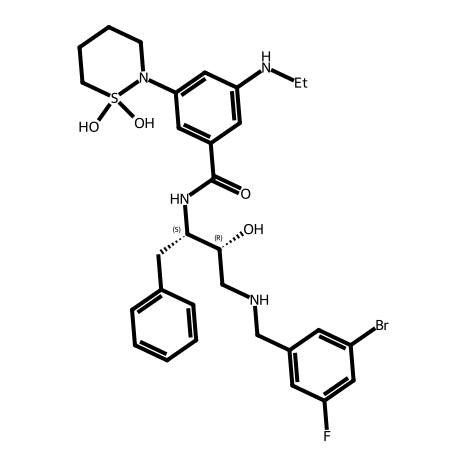 CCNc1cc(C(=O)N[C@@H](Cc2ccccc2)[C@H](O)CNCc2cc(F)cc(Br)c2)cc(N2CCCCS2(O)O)c1